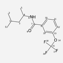 CC(C)CC(C)NC(=O)c1cccc(OC(F)(F)F)c1